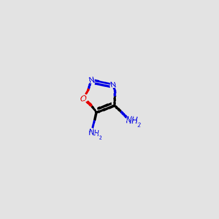 Nc1nnoc1N